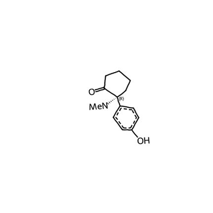 CN[C@@]1(c2ccc(O)cc2)CCCCC1=O